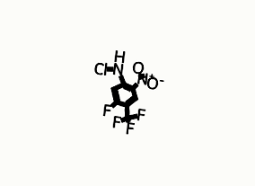 O=[N+]([O-])c1cc(C(F)(F)F)c(F)cc1NCl